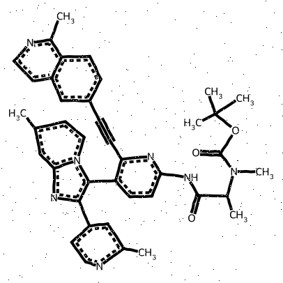 Cc1ccn2c(-c3ccc(NC(=O)C(C)N(C)C(=O)OC(C)(C)C)nc3C#Cc3ccc4c(C)nccc4c3)c(-c3ccnc(C)c3)nc2c1